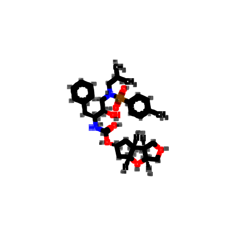 Cc1ccc(S(=O)(=O)N(CC(C)C)C[C@@H](O)[C@H](Cc2ccccc2)NC(=O)O[C@@H]2C[C@@H]3[C@H]4COC[C@H]4O[C@@H]3C2)cc1